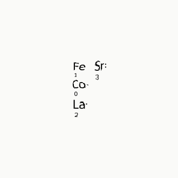 [Co].[Fe].[La].[Sr]